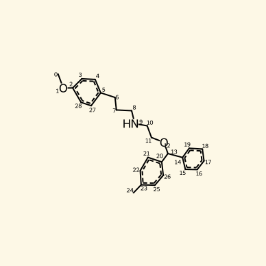 COc1ccc(CCCNCCOC(c2ccccc2)c2ccc(C)cc2)cc1